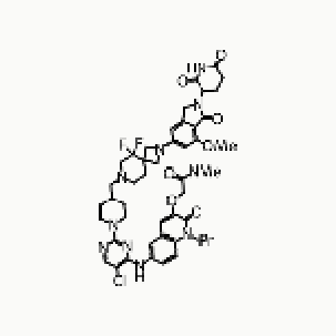 CNC(=O)COc1cc2cc(Nc3nc(N4CCC(CN5CCC6(CN(c7cc8c(c(OC)c7)C(=O)N(C7CCC(=O)NC7=O)C8)C6)C(F)(F)C5)CC4)ncc3Cl)ccc2n(C(C)C)c1=O